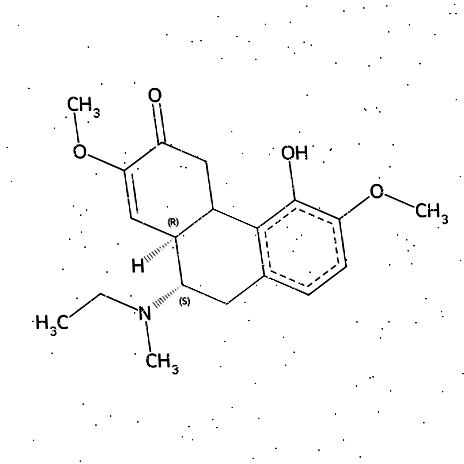 CCN(C)[C@H]1Cc2ccc(OC)c(O)c2C2CC(=O)C(OC)=C[C@@H]21